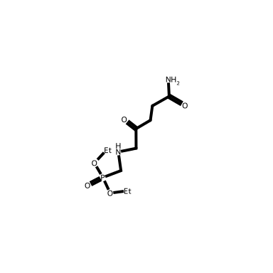 CCOP(=O)(CNCC(=O)CCC(N)=O)OCC